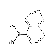 CCC[Si](CCC)c1cccc2ccccc12